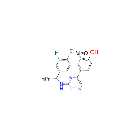 CCCC(Nc1cncc(-c2ccc(O)c(OC)c2)n1)c1ccc(Cl)c(F)c1